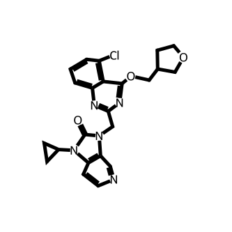 O=c1n(Cc2nc(OCC3CCOC3)c3c(Cl)cccc3n2)c2cnccc2n1C1CC1